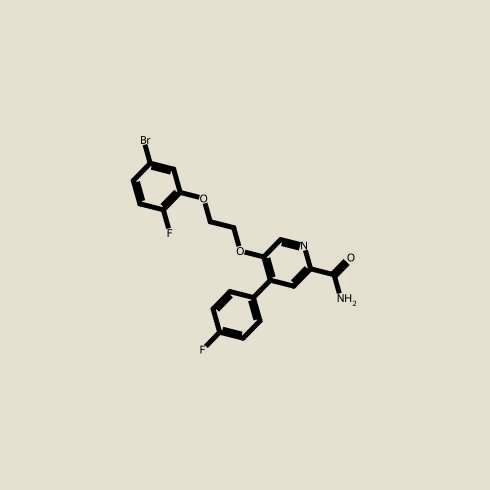 NC(=O)c1cc(-c2ccc(F)cc2)c(OCCOc2cc(Br)ccc2F)cn1